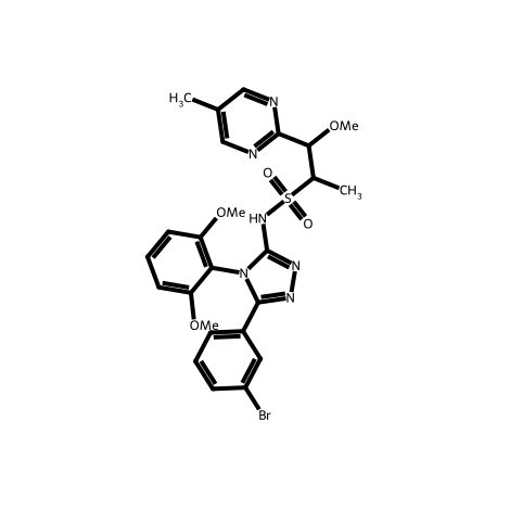 COc1cccc(OC)c1-n1c(NS(=O)(=O)C(C)C(OC)c2ncc(C)cn2)nnc1-c1cccc(Br)c1